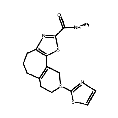 CC(C)NC(=O)c1nc2c(s1)C1=C(CCC2)CCN(c2nccs2)C1